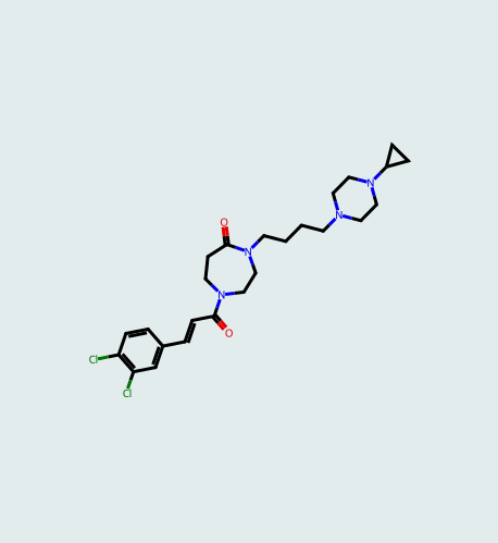 O=C(/C=C/c1ccc(Cl)c(Cl)c1)N1CCC(=O)N(CCCCN2CCN(C3CC3)CC2)CC1